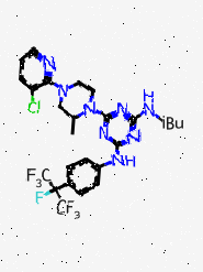 CCC(C)Nc1nc(Nc2ccc(C(F)(C(F)(F)F)C(F)(F)F)cc2)nc(N2CCN(c3ncccc3Cl)CC2C)n1